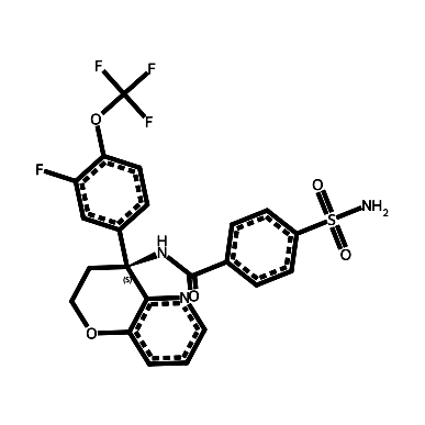 NS(=O)(=O)c1ccc(C(=O)N[C@]2(c3ccc(OC(F)(F)F)c(F)c3)CCOc3cccnc32)cc1